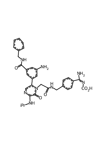 CC(C)Nc1ncc(-c2cc(N)cc(C(=O)NCc3ccccc3)c2)n(CC(=O)NCc2ccc(/C(N)=N\C(=O)O)cc2)c1=O